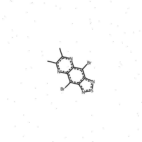 Cc1nc2c(Br)c3nsnc3c(Br)c2nc1C